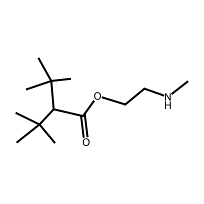 CNCCOC(=O)C(C(C)(C)C)C(C)(C)C